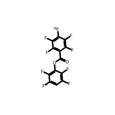 O=C(Oc1c(F)c(F)cc(F)c1F)c1c(F)c(F)c([18F])c(F)c1F